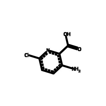 Nc1ccc(Cl)nc1C(=O)O